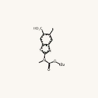 CN(C(=O)OC(C)(C)C)c1nc2cc(F)c(C(=O)O)cc2s1